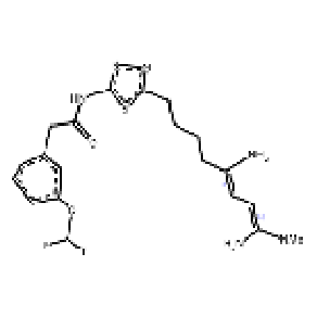 CN/C(N)=C/C=C(\N)CCCCc1nnc(NC(=O)Cc2cccc(OC(F)F)c2)s1